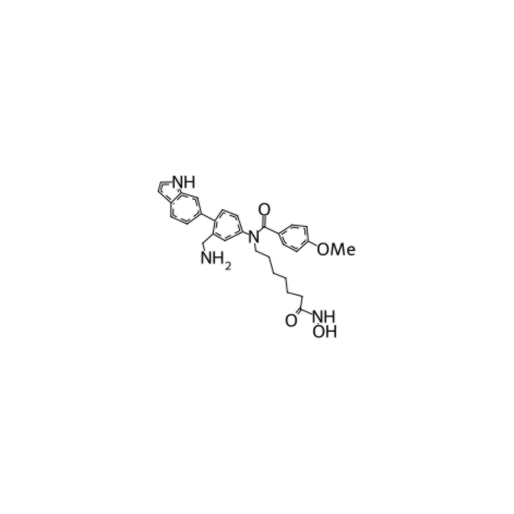 COc1ccc(C(=O)N(CCCCCCC(=O)NO)c2ccc(-c3ccc4cc[nH]c4c3)c(CN)c2)cc1